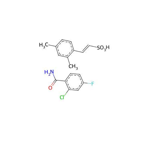 Cc1ccc(/C=C/S(=O)(=O)O)c(C)c1.NC(=O)c1ccc(F)cc1Cl